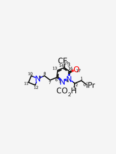 CC(C)CC(C(=O)O)n1nc(CCN2CCC2)cc(C(F)(F)F)c1=O